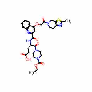 CCOC(=O)N1CCN(C(=O)[C@H](CCC(=O)O)NC(=O)c2cc(OCC(=O)N3CCc4nc(C)sc4C3)c3ccccc3n2)CC1